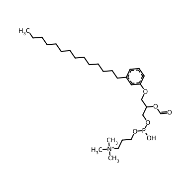 CCCCCCCCCCCCCCc1cccc(OCC(COP(O)OCCC[N+](C)(C)C)OC=O)c1